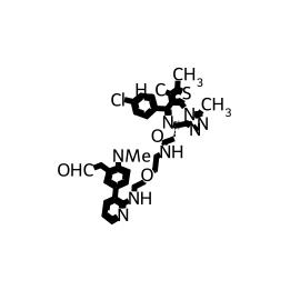 CNc1ccc(-c2cccnc2NCCOCCNC(=O)C[C@@H]2N=C(c3ccc(Cl)cc3)c3c(sc(C)c3C)-n3c(C)nnc32)cc1CC=O